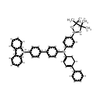 CC1(C)OB(c2ccc(N(C3=CC=C(c4ccccc4)CC3)c3ccc(-c4ccc(-n5c6ccccc6c6ccccc65)cc4)cc3)cc2)OC1(C)C